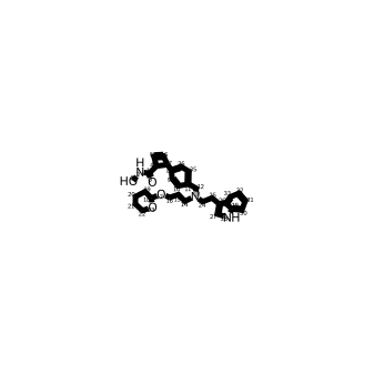 O=C(NO)C1C#CC1c1ccc(CN(CCCOC2CCCCO2)CCc2c[nH]c3ccccc23)cc1